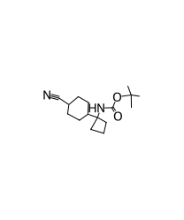 CC(C)(C)OC(=O)NC1(C2CCC(C#N)CC2)CCC1